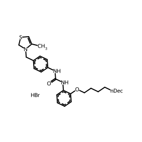 Br.CCCCCCCCCCCCCCOc1ccccc1NC(=O)Nc1ccc(CN2CSC=C2C)cc1